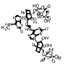 CNc1nc(Cl)nc2c1ncn2[C@H]1[C@H](OCNc2nc(Cl)nc3c2ncn3[C@H]2[C@H](O)[C@H](O)[C@]3(COP(=O)(O)OP(=O)(O)O)CC[C@H]23)[C@H](O)[C@]2(COP(=O)(O)OP(=O)(O)OP(=O)(O)O)C=C[C@H]12